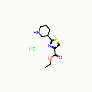 CCOC(=O)c1csc(C2CCCNC2)n1.Cl